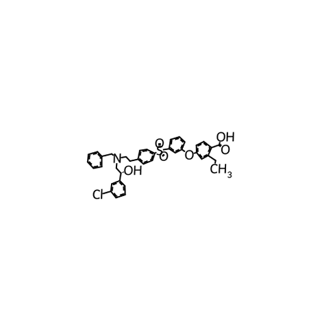 CCc1cc(Oc2cccc(S(=O)(=O)c3ccc(CCN(Cc4ccccc4)C[C@H](O)c4cccc(Cl)c4)cc3)c2)ccc1C(=O)O